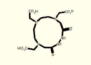 O=C(O)CN1CCN(CC(=O)O)CC(=O)NNC(=O)CN(CC(=O)O)CC1